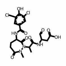 CC(C(=O)NC(C=O)CC(=O)O)N1C(=O)C(NC(=O)c2cc(Cl)c(O)c(Cl)c2)CCC(=O)N1C